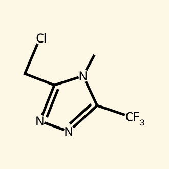 Cn1c(CCl)nnc1C(F)(F)F